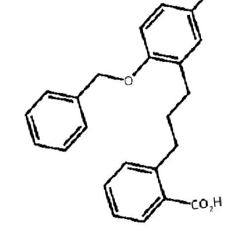 O=C(O)c1ccccc1CCCc1cc([N+](=O)[O-])ccc1OCc1ccccc1